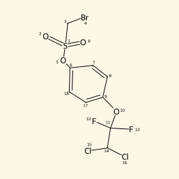 O=S(=O)(CBr)Oc1ccc(OC(F)(F)C(Cl)Cl)cc1